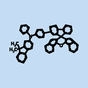 CC1(C)c2ccccc2-c2ccc(N(c3ccccc3)c3ccc(-c4ccc5c(c4)C4(c6ccccc6-5)c5ccc6ccccc6c5Oc5c4ccc4ccccc54)cc3)cc21